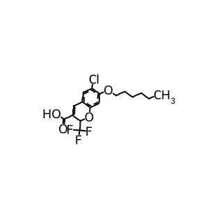 CCCCCCOc1cc2c(cc1Cl)C=C(C(=O)O)C(C(F)(F)F)O2